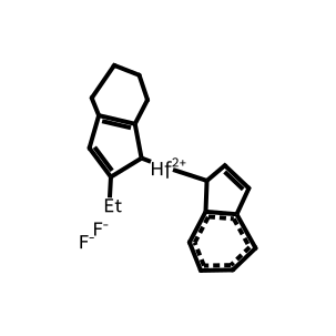 CCC1=CC2=C(CCCC2)[CH]1[Hf+2][CH]1C=Cc2ccccc21.[F-].[F-]